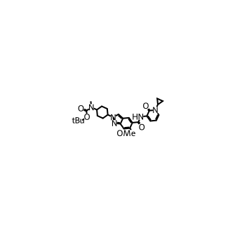 COc1cc2nn(C3CCC(N(C)C(=O)OC(C)(C)C)CC3)cc2cc1C(=O)Nc1cccn(C2CC2)c1=O